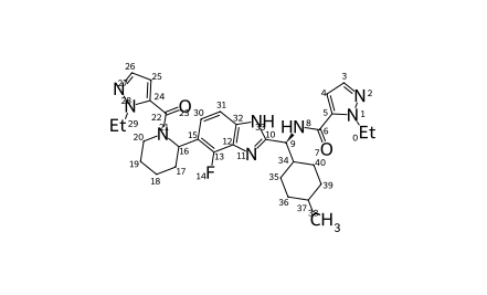 CCn1nccc1C(=O)N[C@H](c1nc2c(F)c(C3CCCCN3C(=O)c3ccnn3CC)ccc2[nH]1)C1CCC(C)CC1